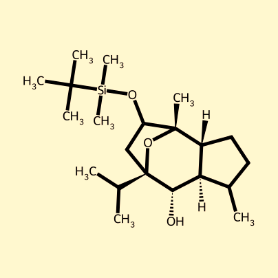 CC1CC[C@@H]2[C@@H]1[C@H](O)[C@]1(C(C)C)CC(O[Si](C)(C)C(C)(C)C)[C@@]2(C)O1